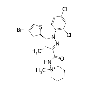 C[C@H]1C(C(=O)N[N+]2(C)CCCCC2)=NN(c2ccc(Cl)cc2Cl)[C@@H]1C1CC(Br)=CS1